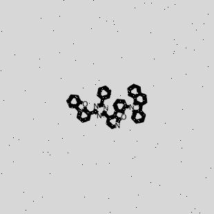 c1ccc(-c2nc(-c3cccc4c3oc3ccccc34)nc(-c3ccnc4oc5c(-n6c7ccccc7c7ccc8ccccc8c76)cccc5c34)n2)cc1